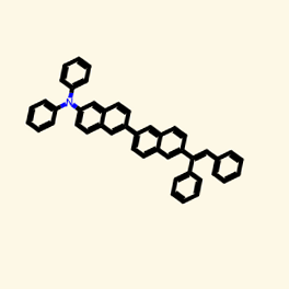 C(=C(/c1ccccc1)c1ccc2cc(-c3ccc4cc(N(c5ccccc5)c5ccccc5)ccc4c3)ccc2c1)/c1ccccc1